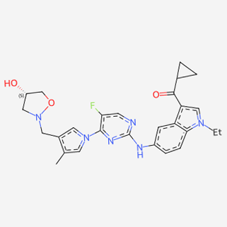 CCn1cc(C(=O)C2CC2)c2cc(Nc3ncc(F)c(-n4cc(C)c(CN5C[C@H](O)CO5)c4)n3)ccc21